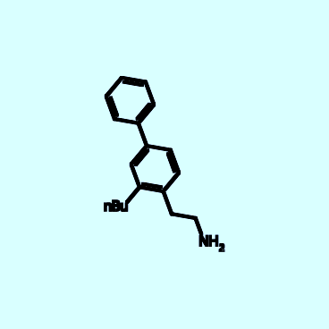 CCCCc1cc(-c2ccccc2)ccc1CCN